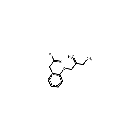 C=C(CC)COc1ccccc1CC(=O)O